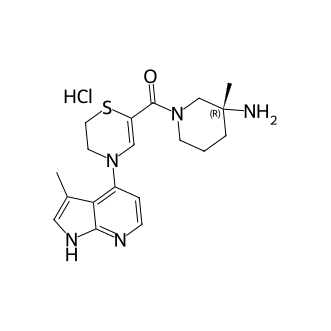 Cc1c[nH]c2nccc(N3C=C(C(=O)N4CCC[C@@](C)(N)C4)SCC3)c12.Cl